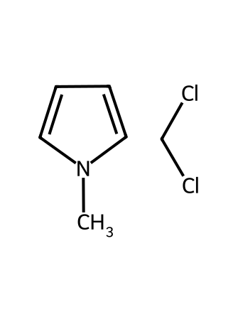 ClCCl.Cn1cccc1